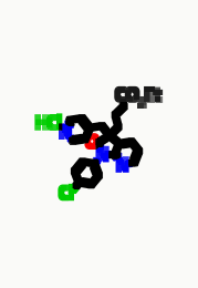 CCOC(=O)CCCC1(Cc2ccncc2)C(=O)N(c2ccc(Cl)cc2)c2ncccc21.Cl